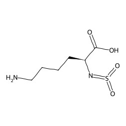 NCCCC[C@H](N=S(=O)=O)C(=O)O